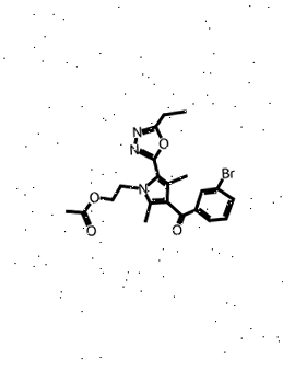 CCc1nnc(-c2c(C)c(C(=O)c3cccc(Br)c3)c(C)n2CCOC(C)=O)o1